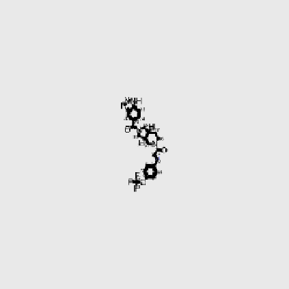 O=C(/C=C/c1ccc(OC(F)(F)F)cc1)N1CC[C@H]2CN(C(=O)c3ccc4[nH]nnc4c3)C[C@H]2C1